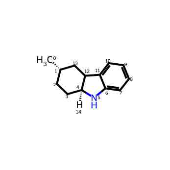 C[C@H]1CC[C@@H]2Nc3ccccc3C2C1